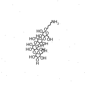 NCCCCO[C@@H]1OC(CO)[C@@H](O[C@H]2OC(CO)[C@H](O[C@H]3OC(CO)[C@@H](O[C@@H]4OC(CO)[C@@H](O)[C@H](O)C4O)[C@H](O)C3O)[C@H](O)C2O)[C@H](O)C1O